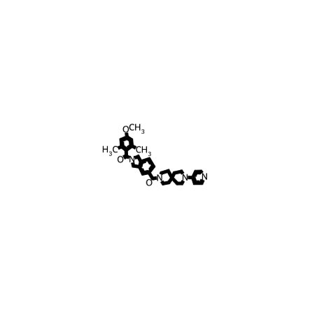 COc1cc(C)c(C(=O)N2Cc3ccc(C(=O)N4CCC5(CC4)CCN(c4ccncc4)CC5)cc3C2)c(C)c1